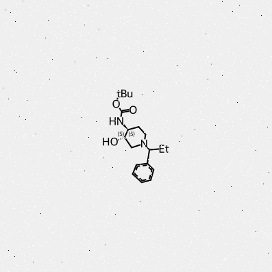 CCC(c1ccccc1)N1CC[C@H](NC(=O)OC(C)(C)C)[C@@H](O)C1